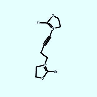 CCC1=[N+](C#CCC[N+]2=C(CC)OCC2)CCO1